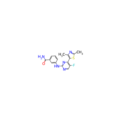 Cc1nc(C)c(-c2nc(Nc3cccc(C(N)=O)c3)ncc2F)s1